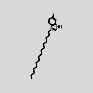 CCCCCCCCCCCCCCCC[n+]1c[nH]c2cc(C)ccc21